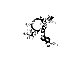 C[C@@H]1CC/C=C\[C@@H]2C[C@@]2(C(=O)NS(=O)(=O)C2(C)CC2)NC(=O)[C@@H]2C[C@@H](Oc3nccc4c5c(ccc34)N(C)CCO5)CN2C(=O)[C@@H](NC(=O)C(=O)N(C)C)[C@H](C)C1